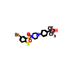 O=S(=O)(C1=CC(Br)=CCC1=S)N1CCN(c2ccc(C(O)(C(F)(F)F)C(F)(F)F)cc2)CC1